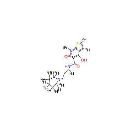 [2H]c1sc2c(c1[2H])c(O)c(C(=O)NC([2H])CCN1C([2H])([2H])C([2H])([2H])C([2H])([2H])C([2H])([2H])C1([2H])[2H])c(=O)n2C(C)C